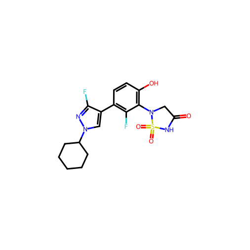 O=C1CN(c2c(O)ccc(-c3cn(C4CCCCC4)nc3F)c2F)S(=O)(=O)N1